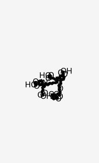 CC1(CCCS(=O)(=O)O)C(/C=C/C=C/C=C2/N(CCOCCC(=O)ON3C(=O)CCC3=O)c3ccc(S(=O)(=O)O)cc3C2(C)CCCS(=O)(=O)O)=Nc2ccc(S(=O)(=O)O)cc21